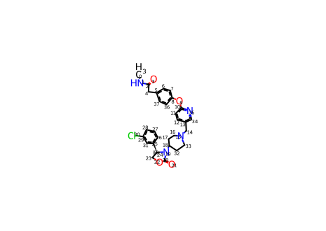 CNC(=O)Cc1ccc(Oc2ccc(CN3CCC(N4C(=O)OC[C@H]4c4cccc(Cl)c4)CC3)cn2)cc1